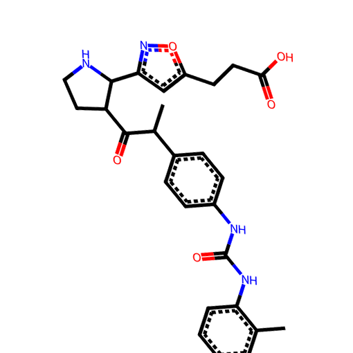 Cc1ccccc1NC(=O)Nc1ccc(C(C)C(=O)C2CCNC2c2cc(CCC(=O)O)on2)cc1